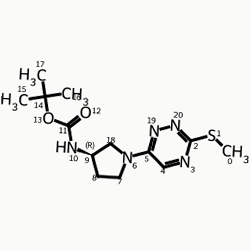 CSc1ncc(N2CC[C@@H](NC(=O)OC(C)(C)C)C2)nn1